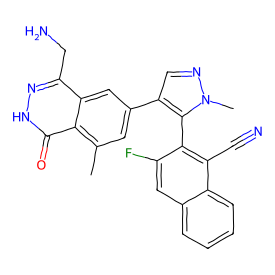 Cc1cc(-c2cnn(C)c2-c2c(F)cc3ccccc3c2C#N)cc2c(CN)n[nH]c(=O)c12